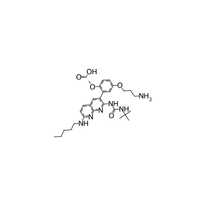 CCCCCNc1ccc2cc(-c3cc(OCCCN)ccc3OC)c(NC(=O)NC(C)(C)C)nc2n1.O=CO